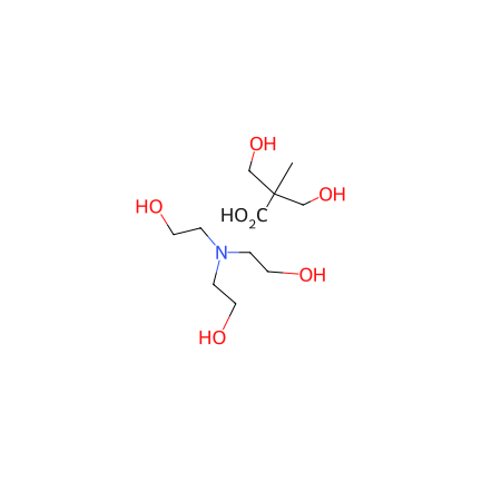 CC(CO)(CO)C(=O)O.OCCN(CCO)CCO